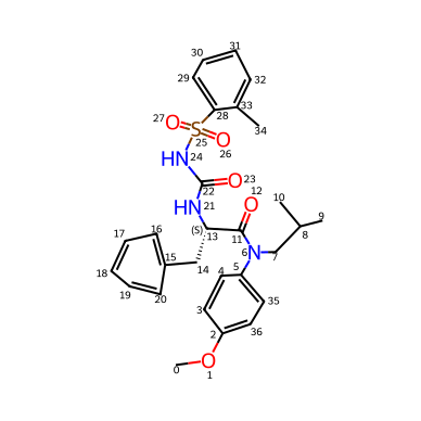 COc1ccc(N(CC(C)C)C(=O)[C@H](Cc2ccccc2)NC(=O)NS(=O)(=O)c2ccccc2C)cc1